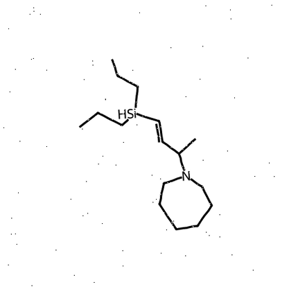 CCC[SiH](C=CC(C)N1CCCCCC1)CCC